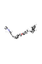 O=C(/C=C/c1cccnc1)NCCCCC1CCN(C(=O)c2ccc(N3CCC(N4CCN(C(=O)CCCNc5cccc6c5CN(C5CCC(=O)NC5=O)C6=O)CC4)CC3)nn2)CC1